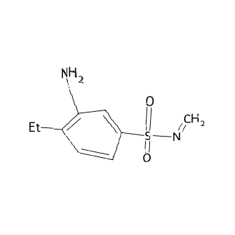 C=NS(=O)(=O)c1ccc(CC)c(N)c1